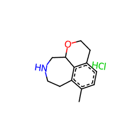 Cc1ccc2c3c1CCNCC3OCC2.Cl